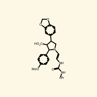 CCCNC(=O)NC=CN1CC(c2ccc3c(c2)OCO3)C(C(=O)O)C1c1ccc(OC)cc1